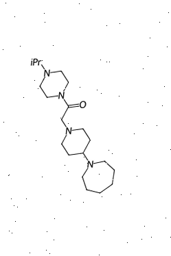 CC(C)N1CCN(C(=O)CN2CCC(N3CCCCCC3)CC2)CC1